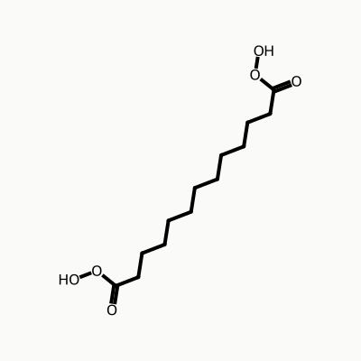 O=C(CCCCCCCCCCCC(=O)OO)OO